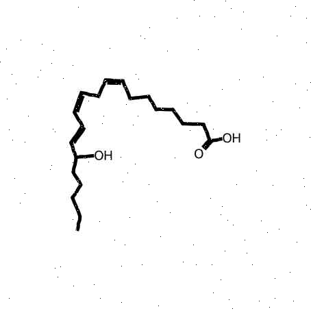 CCCCCC(O)/C=C/C=C\C/C=C\CCCCCCC(=O)O